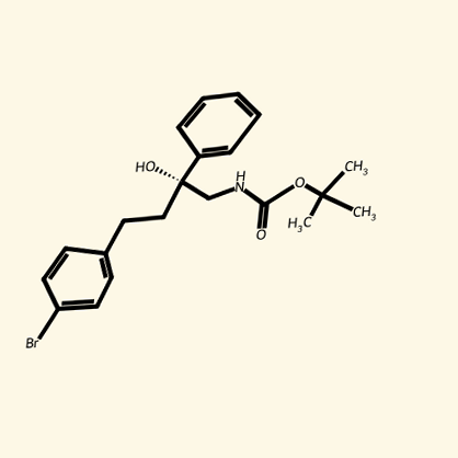 CC(C)(C)OC(=O)NC[C@@](O)(CCc1ccc(Br)cc1)c1ccccc1